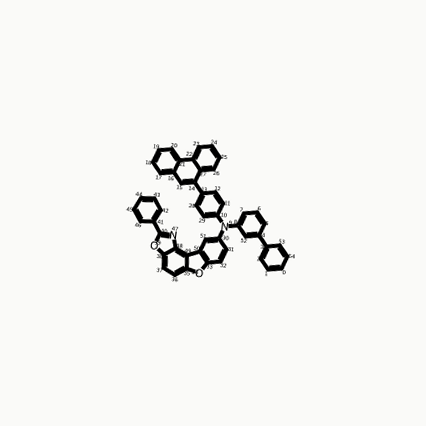 c1ccc(-c2cccc(N(c3ccc(-c4cc5ccccc5c5ccccc45)cc3)c3ccc4oc5ccc6oc(-c7ccccc7)nc6c5c4c3)c2)cc1